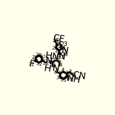 N#Cc1cc2cc(CN3CCC(Nc4ncnc5sc(CC(F)(F)F)cc45)C(NCc4cccc(F)c4)C3)ccc2[nH]1